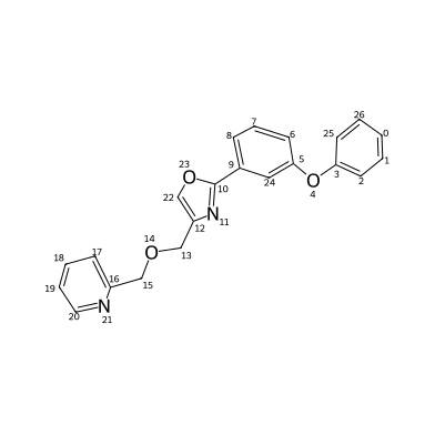 c1ccc(Oc2cccc(-c3nc(COCc4ccccn4)co3)c2)cc1